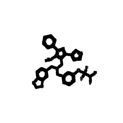 CCCCn1c(-c2ccccc2)nc(-c2ccsc2)c1CN(Cc1cccc(OC(F)(F)C(F)F)c1)Cc1ccc2c(c1)OCO2